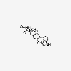 C/C(=C\c1cc(C)c(-c2cccc3[nH]ccc23)cc1C)C(=O)NC1CC1